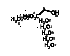 O.O.O.O.O.O.O.O.O=C(O)CO